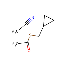 CC#N.CC(=O)SCC1CC1